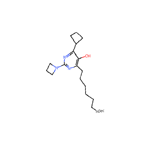 CCCCCCCCCCCCCCCCc1nc(N2CCC2)nc(C2CCC2)c1O